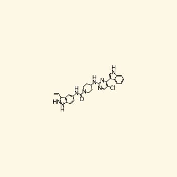 C=CC1NNc2ccc(NC(=O)N3CCC(Nc4ncc(Cl)c(-c5c[nH]c6ccccc56)n4)CC3)cc21